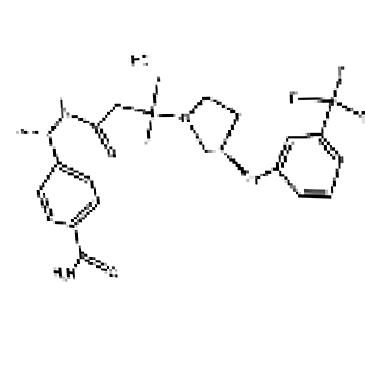 C[C@H](NC(=O)CC(C)(C)N1CC[C@@H](Oc2cccc(C(F)(F)F)c2)C1)c1ccc(C(N)=O)cc1.Cl